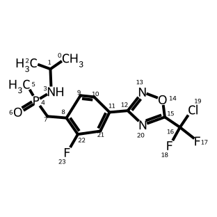 CC(C)NP(C)(=O)Cc1ccc(-c2noc(C(F)(F)Cl)n2)cc1F